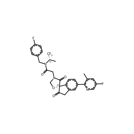 Cc1cc(F)cnc1-c1ccc2c(c1)CC(=O)[C@]21OCN(CC(=O)N(Cc2ccc(F)cc2)[C@@H](C)C(F)(F)F)C1=O